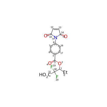 CCC(OC(=O)c1ccc(N2C(=O)C=CC2=O)cc1)C(F)(F)C(=O)O